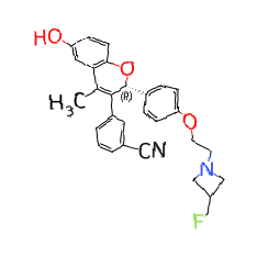 CC1=C(c2cccc(C#N)c2)[C@@H](c2ccc(OCCN3CC(CF)C3)cc2)Oc2ccc(O)cc21